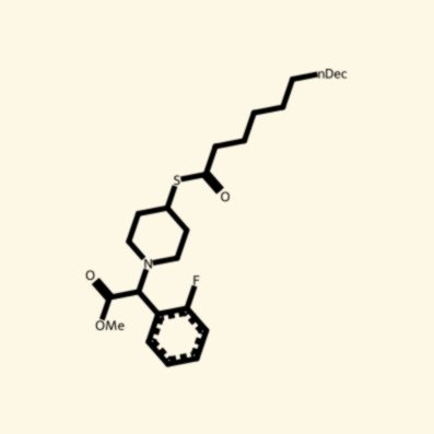 CCCCCCCCCCCCCCCC(=O)SC1CCN(C(C(=O)OC)c2ccccc2F)CC1